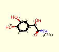 O=CNC(=O)C(O)c1ccc(O)c(O)c1